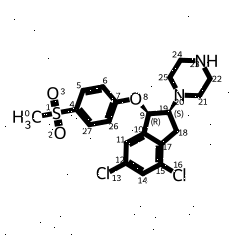 CS(=O)(=O)c1ccc(O[C@@H]2c3cc(Cl)cc(Cl)c3C[C@@H]2N2CCNCC2)cc1